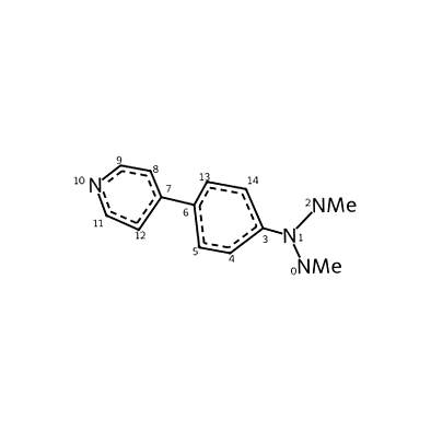 CNN(NC)c1ccc(-c2ccncc2)cc1